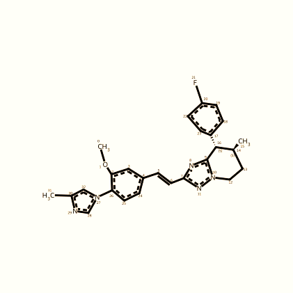 COc1cc(C=Cc2nc3n(n2)CC[C@H](C)[C@H]3c2ccc(F)cc2)ccc1-n1cnc(C)c1